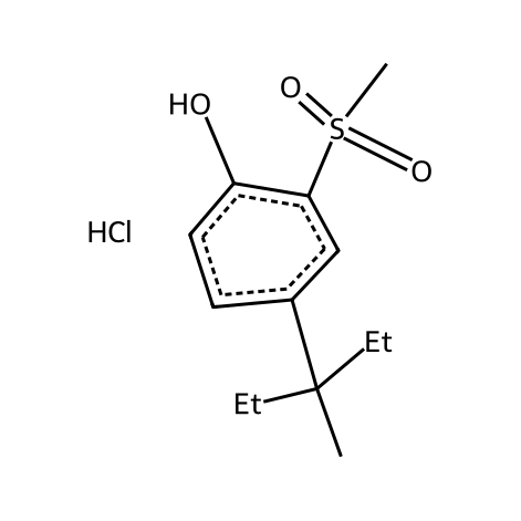 CCC(C)(CC)c1ccc(O)c(S(C)(=O)=O)c1.Cl